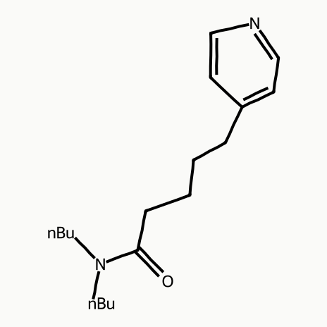 CCCCN(CCCC)C(=O)CCCCc1ccncc1